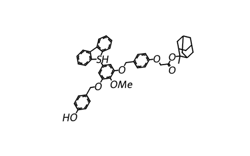 COc1c(OCc2ccc(O)cc2)cc([SH]2c3ccccc3-c3ccccc32)cc1OCc1ccc(OCC(=O)OC2(C)C3CC4CC(C3)CC2C4)cc1